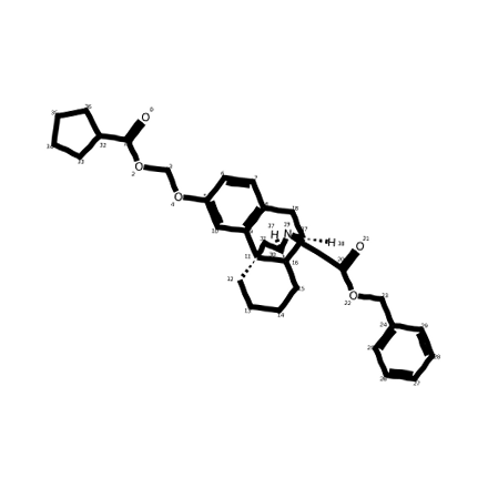 O=C(OCOc1ccc2c(c1)[C@]13CCCC[C@@H]1[C@H](C2)N(C(=O)OCc1ccccc1)CC3)C1CCCC1